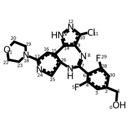 OCc1cc(F)c(C2=Nc3c(Cl)n[nH]c3-c3cc(N4CCOCC4)ncc3N2)c(F)c1